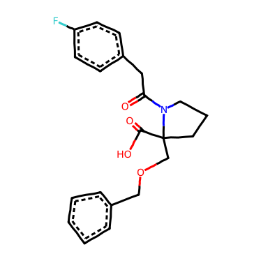 O=C(Cc1ccc(F)cc1)N1CCCC1(COCc1ccccc1)C(=O)O